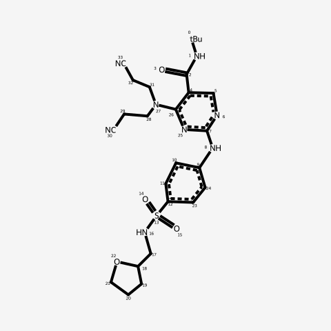 CC(C)(C)NC(=O)c1cnc(Nc2ccc(S(=O)(=O)NCC3CCCO3)cc2)nc1N(CCC#N)CCC#N